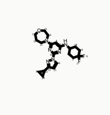 FC1(F)CCC(Nc2cc(N3CCCOCC3)nc(-n3ccc(C4CC4)n3)n2)CC1